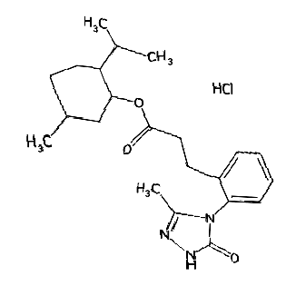 Cc1n[nH]c(=O)n1-c1ccccc1CCC(=O)OC1CC(C)CCC1C(C)C.Cl